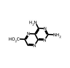 Nc1nc(N)c2nc(C(=O)O)cnc2n1